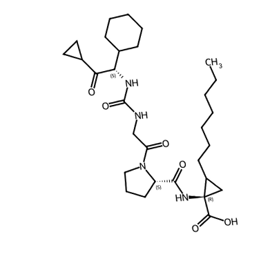 CCCCCCCC1C[C@]1(NC(=O)[C@@H]1CCCN1C(=O)CNC(=O)N[C@H](C(=O)C1CC1)C1CCCCC1)C(=O)O